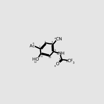 CC(=O)c1cc(C#N)c(NC(=O)C(F)(F)F)cc1O